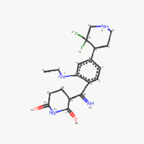 CCNc1cc(C2CCNCC2(F)F)ccc1C(=N)C1CCC(=O)NC1=O